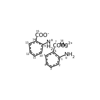 Nc1ccccc1C(=O)[O-].Nc1ccccc1C(=O)[O-].[Mg+2]